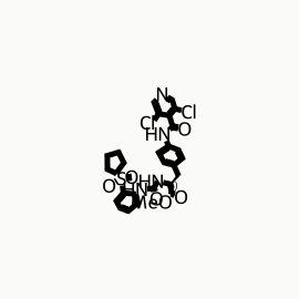 COC(=O)[C@H](Cc1ccc(NC(=O)c2c(Cl)cncc2Cl)cc1)NC(=O)Nc1ccccc1S(=O)(=O)C1CCCC1